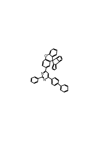 c1ccc(-c2ccc(-c3cc(-c4ccc5c(c4)C4(c6ccccc6O5)c5ccccc5-c5ccccc54)nc(-c4ccccc4)n3)cc2)cc1